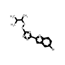 CC(C)C(C)SSc1nnc(-c2cc3cc(Br)ccc3o2)o1